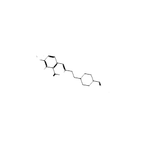 C=CC1CCC(CCc2cc3ccc(OC)c(F)c3c(=O)o2)CC1